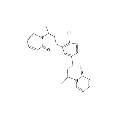 CC(CCc1c[c]c(Cl)c(CCC(C)n2ccccc2=O)c1)n1ccccc1=O